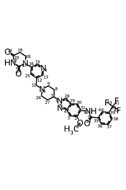 COc1cc2nn(C3CCN(Cc4cncc(N5CCC(=O)NC5=O)c4)CC3)cc2cc1NC(=O)c1cccc(C(F)(F)F)c1